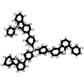 c1ccc(-c2cccc3c2oc2ccc(-c4ccc(N(c5ccc(-c6ccc7c8ccccc8n(-c8ccccc8)c7c6)cc5)c5ccc(-c6cccc7c6sc6ccccc67)cc5)cc4)cc23)cc1